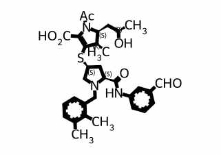 CC(=O)N1C(C(=O)O)=C(S[C@H]2C[C@@H](C(=O)Nc3cccc(C=O)c3)N(Cc3cccc(C)c3C)C2)[C@H](C)[C@@H]1C[C@@H](C)O